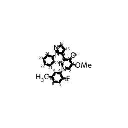 COc1cn(-c2cc(C)ccc2F)nc(-c2ccnn2-c2ccccc2)c1=O